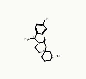 C[C@@H](c1ccc(Br)cc1)N1CC[C@@]2(CCC[C@@H](O)C2)OC1=O